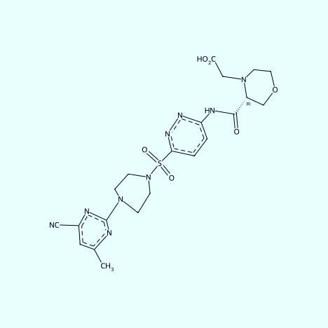 Cc1cc(C#N)nc(N2CCN(S(=O)(=O)c3ccc(NC(=O)[C@H]4COCCN4CC(=O)O)nn3)CC2)n1